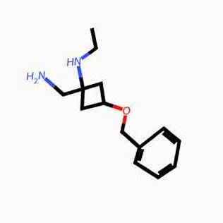 CCNC1(CN)CC(OCc2ccccc2)C1